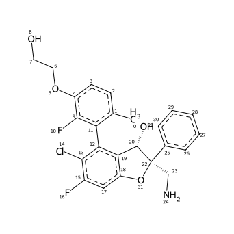 Cc1ccc(OCCO)c(F)c1-c1c(Cl)c(F)cc2c1[C@H](O)[C@@](CN)(c1ccccc1)O2